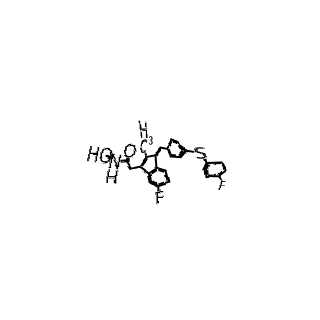 CC1=C(CC(=O)NO)c2cc(F)ccc2/C1=C\c1ccc(Sc2ccc(F)cc2)cc1